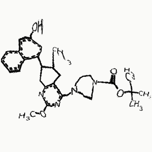 COc1nc2c(c(N3CCN(C(=O)OC(C)(C)C)CC3)n1)CC(C)C(c1cc(O)cc3ccccc13)C2